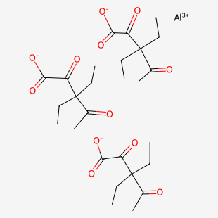 CCC(CC)(C(C)=O)C(=O)C(=O)[O-].CCC(CC)(C(C)=O)C(=O)C(=O)[O-].CCC(CC)(C(C)=O)C(=O)C(=O)[O-].[Al+3]